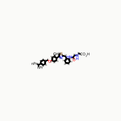 CCCC(CCC)c1ccc(COc2ccc(-c3csc(Cc4ccccc4NC(=O)CNCC(=O)O)n3)c(C)c2)cc1